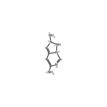 NC1=CC2=CN(N)NN2C=N1